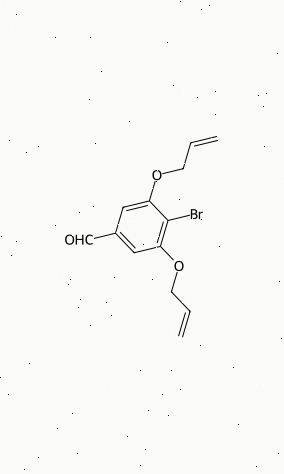 C=CCOc1cc(C=O)cc(OCC=C)c1Br